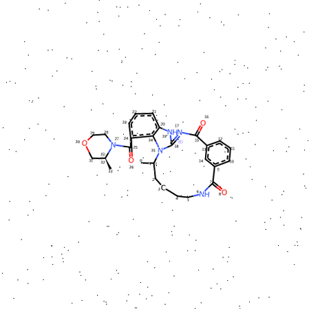 CC1CCCCNC(=O)c2cccc(c2)C(=O)/N=C2\Nc3cccc(C(=O)N4CCOC[C@@H]4C)c3N21